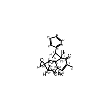 CC(=O)O[C@@H]1C[C@]2(C)[C@@]34CC(c5ccccc5)[C@@H]3C(=O)C(C)=C[C@H]4O[C@H]1[C@@]21CO1